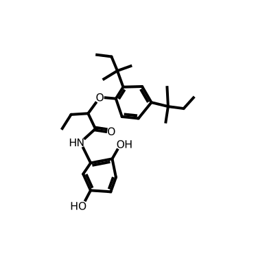 CCC(Oc1ccc(C(C)(C)CC)cc1C(C)(C)CC)C(=O)Nc1cc(O)ccc1O